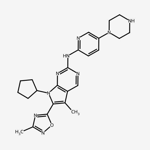 Cc1noc(-c2c(C)c3cnc(Nc4ccc(N5CCNCC5)cn4)nc3n2C2CCCC2)n1